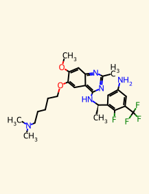 COc1cc2nc(C)nc(N[C@H](C)c3cc(N)cc(C(F)(F)F)c3F)c2cc1OCCCCCN(C)C